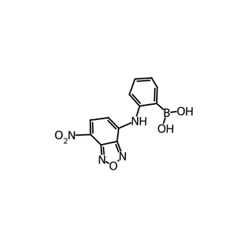 O=[N+]([O-])c1ccc(Nc2ccccc2B(O)O)c2nonc12